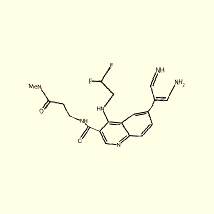 CNC(=O)CCNC(=O)c1cnc2ccc(/C(C=N)=C/N)cc2c1NCC(F)F